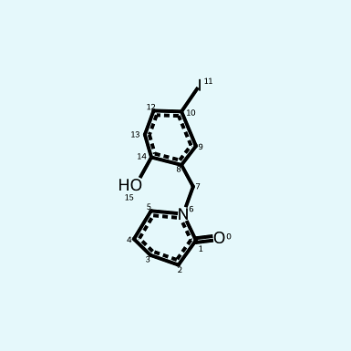 O=c1ccccn1Cc1cc(I)ccc1O